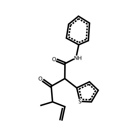 C=CC(C)C(=O)C(C(=O)Nc1ccccc1)c1cccs1